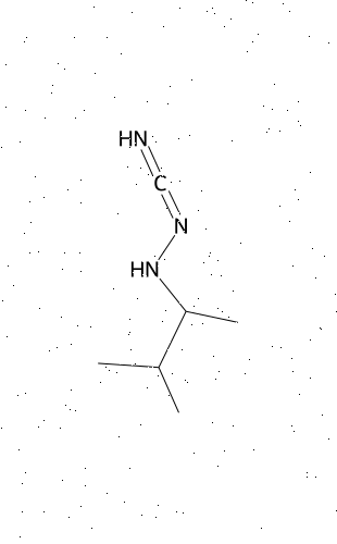 CC(C)C(C)NN=C=N